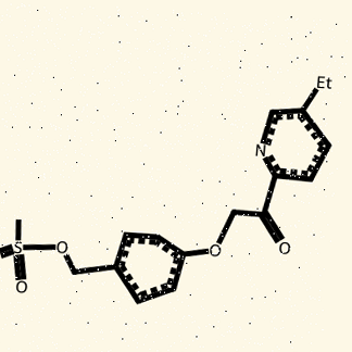 CCc1ccc(C(=O)COc2ccc(COS(C)(=O)=O)cc2)nc1